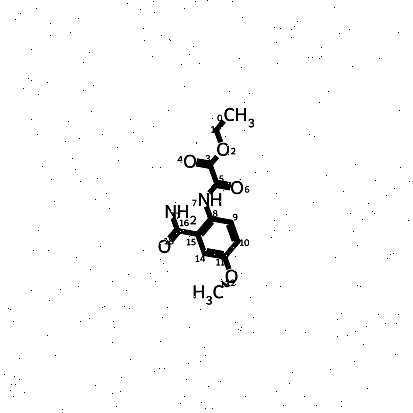 CCOC(=O)C(=O)Nc1ccc(OC)cc1C(N)=O